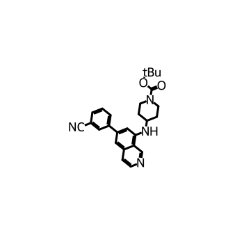 CC(C)(C)OC(=O)N1CCC(Nc2cc(-c3cccc(C#N)c3)cc3ccncc23)CC1